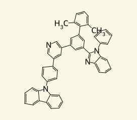 Cc1cccc(C)c1-c1cc(-c2cncc(-c3ccc(-n4c5ccccc5c5ccccc54)cc3)c2)cc(-c2nc3ccccc3n2-c2ccccc2)c1